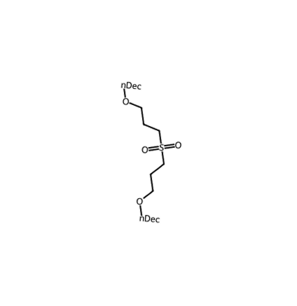 CCCCCCCCCCOCCCS(=O)(=O)CCCOCCCCCCCCCC